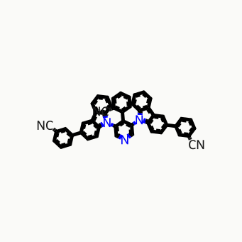 N#Cc1cccc(-c2ccc3c(c2)c2ccccc2n3-c2cncc(-n3c4ccccc4c4cc(-c5cccc(C#N)c5)ccc43)c2-c2ccccc2C#N)c1